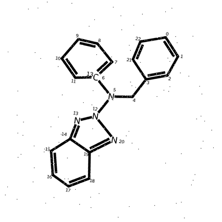 c1ccc(CN([13c]2ccccc2)n2nc3ccccc3n2)cc1